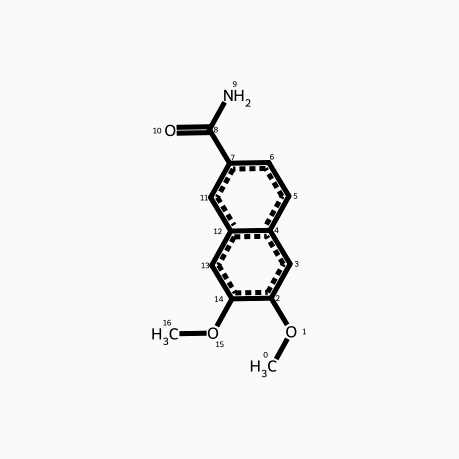 COc1cc2ccc(C(N)=O)cc2cc1OC